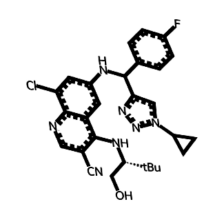 CC(C)(C)[C@H](CO)Nc1c(C#N)cnc2c(Cl)cc(NC(c3ccc(F)cc3)c3cn(C4CC4)nn3)cc12